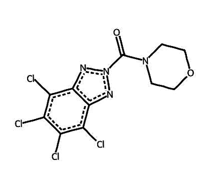 O=C(N1CCOCC1)n1nc2c(Cl)c(Cl)c(Cl)c(Cl)c2n1